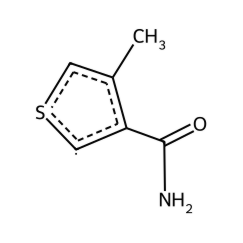 Cc1cs[c]c1C(N)=O